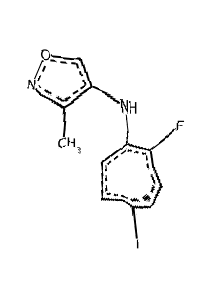 Cc1nocc1Nc1ccc(I)cc1F